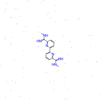 CNC(=N)c1cccc(-c2cccc(C(=N)NC)n2)n1